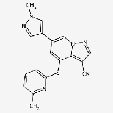 Cc1cccc(Sc2cc(-c3cnn(C)c3)cn3ncc(C#N)c23)n1